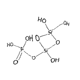 O=P(O)(O)O[Si]1(O)O[Si](O)(O)O1